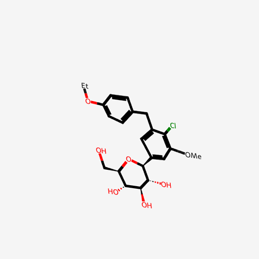 CCOc1ccc(Cc2cc([C@@H]3O[C@H](CO)[C@@H](O)[C@H](O)[C@H]3O)cc(OC)c2Cl)cc1